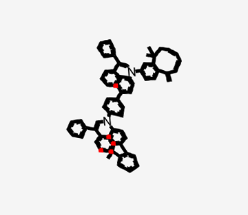 C=C1/C=C\C=C/CC(C)(C)c2cc(N(C=C(c3ccccc3)c3ccccc3)c3ccc(-c4ccc(N(C=C(c5ccccc5)c5ccccc5)c5ccc6c(c5)C(C)(C)c5ccccc5-6)cc4)cc3)ccc21